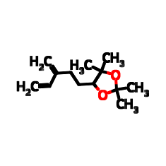 C=CC(=C)CCC1OC(C)(C)OC1(C)C